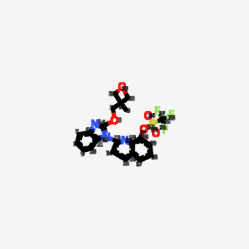 CC1(COc2nc3ccccc3n2-c2ccc3cccc(OS(=O)(=O)C(F)(F)F)c3n2)COC1